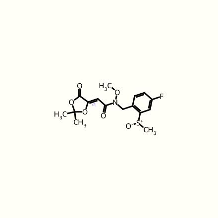 CON(Cc1ccc(F)cc1[S+](C)[O-])C(=O)/C=C1\OC(C)(C)OC1=O